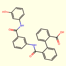 O=C(Nc1cccc(O)c1)c1cccc(NC(=O)c2ccccc2-c2ccccc2C(=O)O)c1